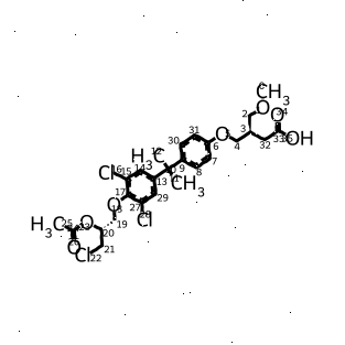 COC[C@H](COc1ccc(C(C)(C)c2cc(Cl)c(OC[C@H](CCl)OC(C)=O)c(Cl)c2)cc1)CC(=O)O